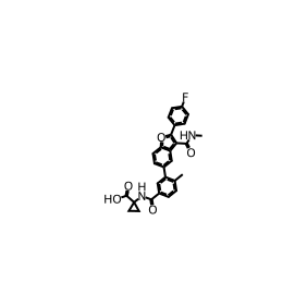 CNC(=O)c1c(-c2ccc(F)cc2)oc2ccc(-c3cc(C(=O)NC4(C(=O)O)CC4)ccc3C)cc12